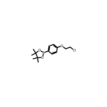 CC1(C)OB(c2ccc(OCCCl)cc2)OC1(C)C